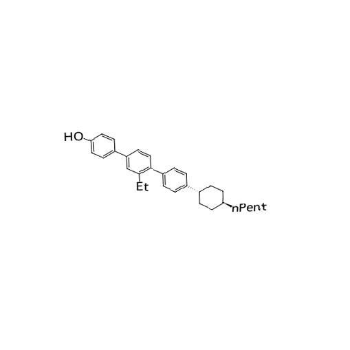 CCCCC[C@H]1CC[C@H](c2ccc(-c3ccc(-c4ccc(O)cc4)cc3CC)cc2)CC1